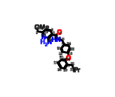 COCc1ccc(C(=O)NCc2ccc(Oc3ccccc3CC(C)C)cc2)c(N)n1